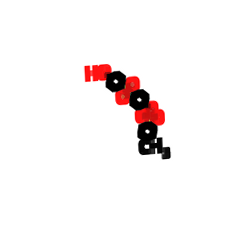 Cc1ccc(S(=O)(=O)Oc2ccc(S(=O)(=O)c3ccc(O)cc3)cc2)cc1